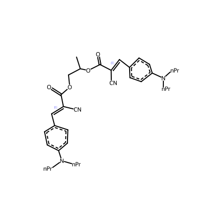 CCCN(CCC)c1ccc(/C=C(\C#N)C(=O)OCC(C)OC(=O)/C(C#N)=C/c2ccc(N(CCC)CCC)cc2)cc1